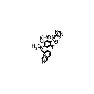 CN(Cc1cccc2cncn12)c1cc(F)c([S+]([O-])Nc2ncns2)cc1OC=O